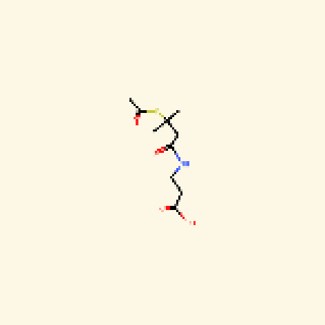 CC(=O)SC(C)(C)CC(=O)NCCC(=O)O